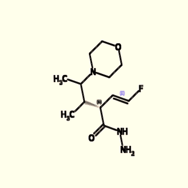 CC(C(C)N1CCOCC1)[C@H](/C=C/F)C(=O)NN